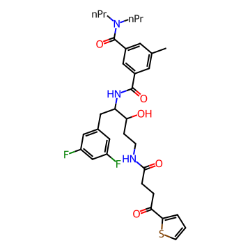 CCCN(CCC)C(=O)c1cc(C)cc(C(=O)NC(Cc2cc(F)cc(F)c2)C(O)CCNC(=O)CCC(=O)c2cccs2)c1